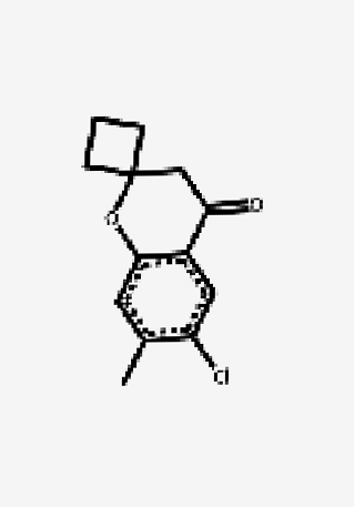 Cc1cc2c(cc1Cl)C(=O)CC1(CCC1)O2